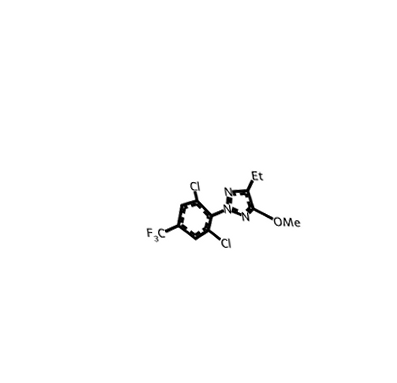 CCc1nn(-c2c(Cl)cc(C(F)(F)F)cc2Cl)nc1OC